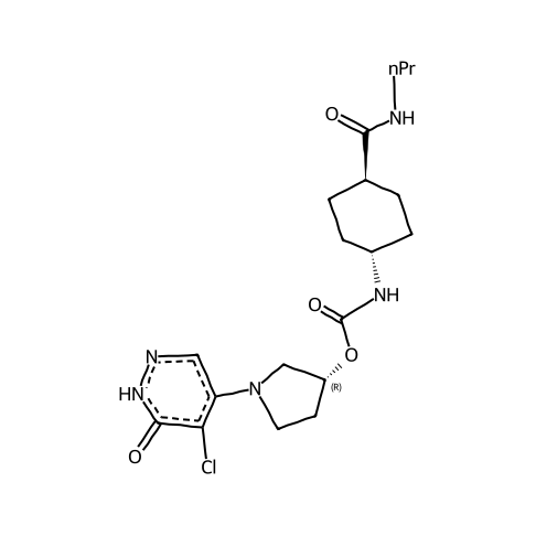 CCCNC(=O)[C@H]1CC[C@H](NC(=O)O[C@@H]2CCN(c3cn[nH]c(=O)c3Cl)C2)CC1